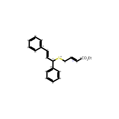 CCOC(=O)/C=C/CSC(C=Cc1ccccc1)c1ccccc1